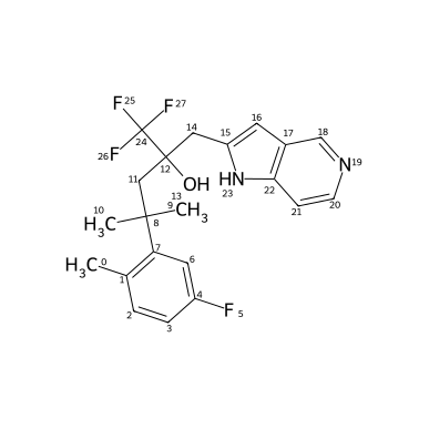 Cc1ccc(F)cc1C(C)(C)CC(O)(Cc1cc2cnccc2[nH]1)C(F)(F)F